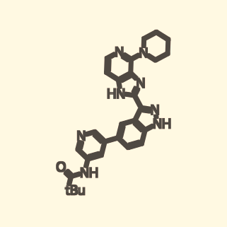 CC(C)(C)C(=O)Nc1cncc(-c2ccc3[nH]nc(-c4nc5c(N6CCCCC6)nccc5[nH]4)c3c2)c1